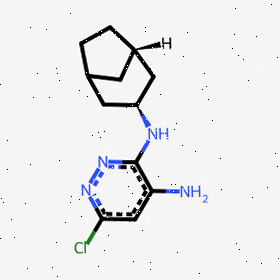 Nc1cc(Cl)nnc1N[C@H]1CC2CC[C@@H](C2)C1